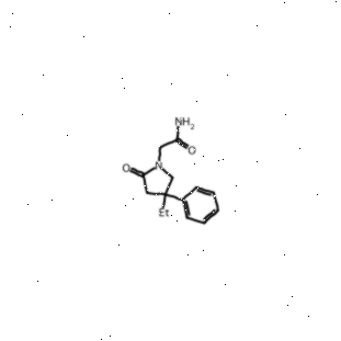 CCC1(c2ccccc2)CC(=O)N(CC(N)=O)C1